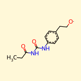 CCC(=O)NC(=O)Nc1ccc(CC[O])cc1